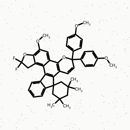 COc1ccc(C2(c3ccc(OC)cc3)C=Cc3c4c(c5c6c(c(OC)cc5c3O2)OC(F)(F)C6)-c2ccccc2C42CC(C)(C)CC(C)(C)C2)cc1